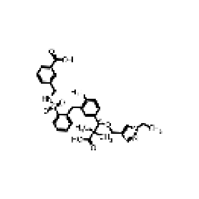 CCn1cc(CO[C@H](c2ccc(C)c(Cc3ccccc3S(=O)(=O)NCc3cccc(C(=O)O)c3)c2)C(C)(C)C(=O)O)nn1